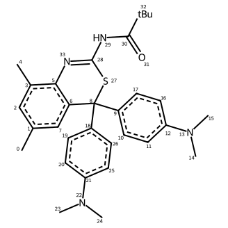 Cc1cc(C)c2c(c1)C(c1ccc(N(C)C)cc1)(c1ccc(N(C)C)cc1)SC(NC(=O)C(C)(C)C)=N2